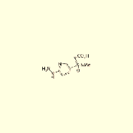 CNS(=O)(=NC(=O)O)c1ccc(NN)nc1